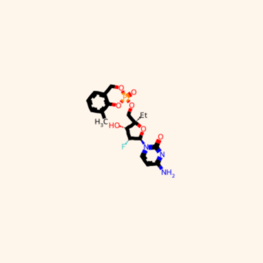 CC[C@]1(COP2(=O)OCc3cccc(C)c3O2)O[C@@H](n2ccc(N)nc2=O)[C@H](F)[C@@H]1O